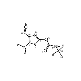 CN(C)c1sc(OC(=O)NC(C)(C)C)nc1C=O